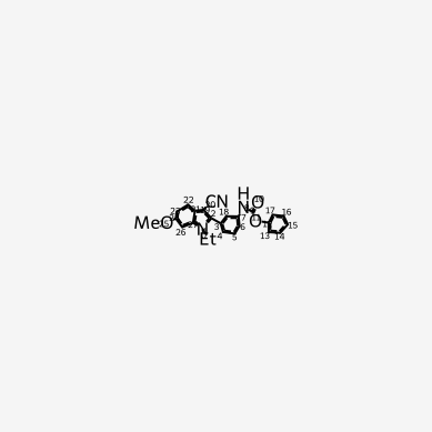 CCn1c(-c2cccc(NC(=O)Oc3ccccc3)c2)c(C#N)c2ccc(OC)cc21